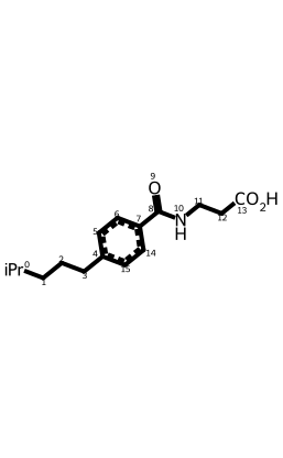 CC(C)CCCc1ccc(C(=O)NCCC(=O)O)cc1